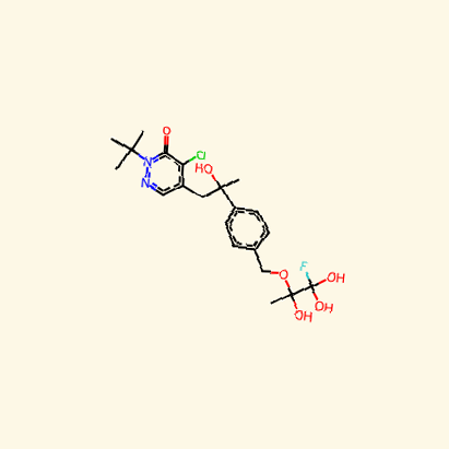 CC(O)(Cc1cnn(C(C)(C)C)c(=O)c1Cl)c1ccc(COC(C)(O)C(O)(O)F)cc1